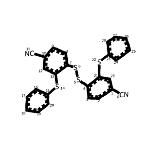 N#Cc1ccc(SSc2ccc(C#N)cc2Sc2ccccc2)c(Sc2ccccc2)c1